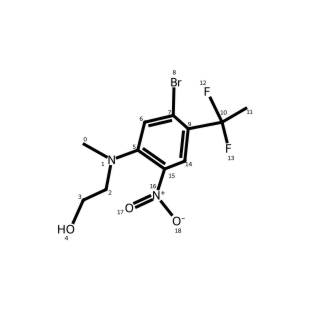 CN(CCO)c1cc(Br)c(C(C)(F)F)cc1[N+](=O)[O-]